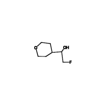 OC(CF)C1CCOCC1